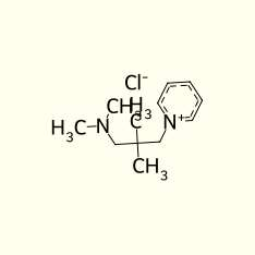 CN(C)CC(C)(C)C[n+]1ccccc1.[Cl-]